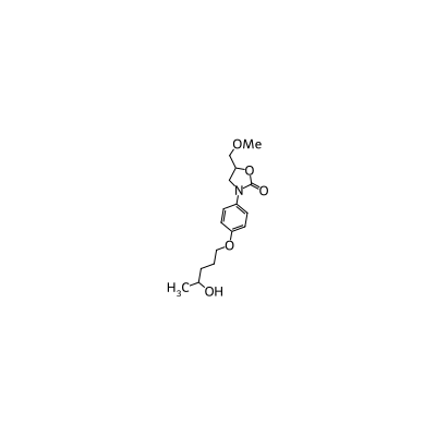 COCC1CN(c2ccc(OCCCC(C)O)cc2)C(=O)O1